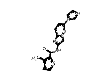 Cc1ccsc1C(=O)Nc1cn2nc(-n3ccnc3)ccc2n1